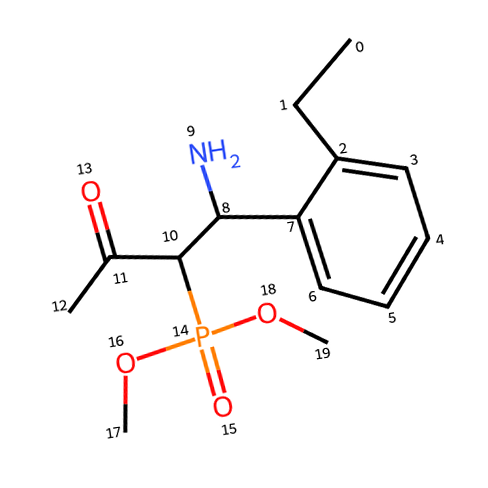 CCc1ccccc1C(N)C(C(C)=O)P(=O)(OC)OC